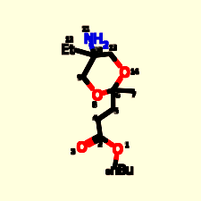 CCCCOC(=O)CCC1(C)OCC(N)(CC)CO1